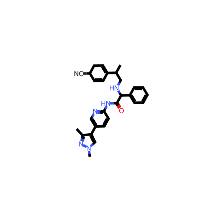 Cc1nn(C)cc1-c1ccc(NC(=O)C(NCC(C)C2=CCC(C#N)C=C2)c2ccccc2)nc1